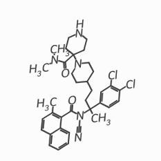 Cc1ccc2ccccc2c1C(=O)N(C#N)C(C)(CCC1CCN(C2(C(=O)N(C)C)CCNCC2)CC1)c1ccc(Cl)c(Cl)c1